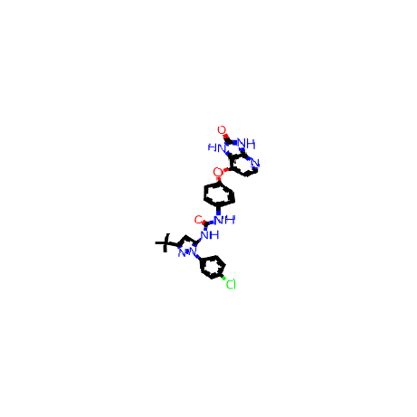 CC(C)(C)c1cc(NC(=O)Nc2ccc(Oc3ccnc4[nH]c(=O)[nH]c34)cc2)n(-c2ccc(Cl)cc2)n1